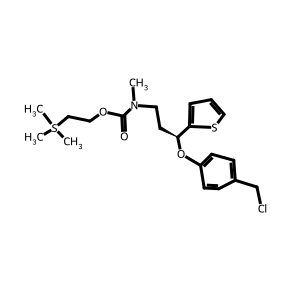 CN(CC[C@H](Oc1ccc(CCl)cc1)c1cccs1)C(=O)OCCS(C)(C)C